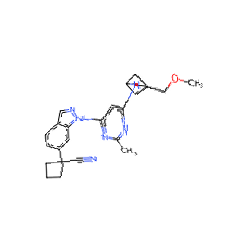 COCC12CC(C1)N(c1cc(-n3ncc4ccc(C5(C#N)CCC5)cc43)nc(C)n1)C2